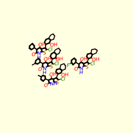 Cc1ccc(-c2c(O)c3c(-c4ccc5c(c4O)CCCC5)c(Cl)sc3[nH]c2=O)cc1.Cc1cccc(-c2c(O)c3c(-c4ccc5c(c4O)CCCC5)c(Cl)sc3[nH]c2=O)c1.O=c1[nH]c2sc(Cl)c(-c3ccc4c(c3O)CCCC4)c2c(O)c1-c1cccc(F)c1.O=c1[nH]c2sc(Cl)c(-c3ccc4c(c3O)CCCC4)c2c(O)c1-c1ccccc1